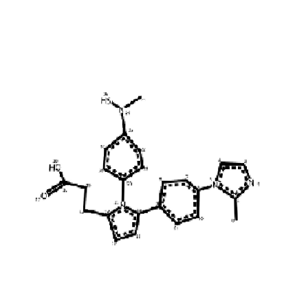 Cc1nccn1-c1ccc(-c2ccc(CCC(=O)O)n2-c2ccc(N(C)S)cc2)cc1